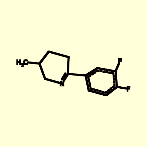 CC1CCC(c2ccc(F)c(F)c2)=NC1